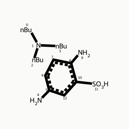 CCCCN(CCCC)CCCC.Nc1ccc(N)c(S(=O)(=O)O)c1